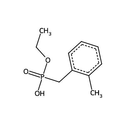 CCOP(=O)(O)Cc1ccccc1C